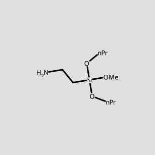 CCCO[Si](CCN)(OC)OCCC